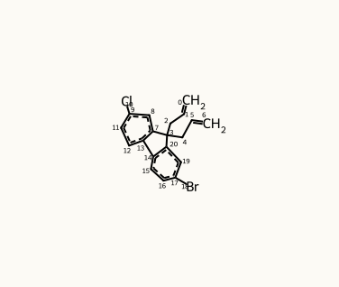 C=CCC1(CC=C)c2cc(Cl)ccc2-c2ccc(Br)cc21